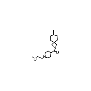 COCCN1CCC(C(=O)N2CC3(CCC(C)CC3)C2)CC1